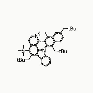 Cc1c2cc(CC(C)(C)C)ccc2c(CC(C)(C)C)c2c1c1c3c(cc[n+]1C)c([Si](C)(C)C)c(CC(C)(C)C)c1c4ccccc4n2c13